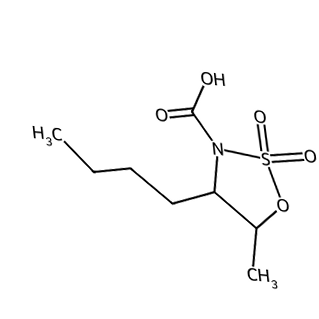 CCCCC1C(C)OS(=O)(=O)N1C(=O)O